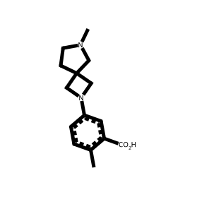 Cc1ccc(N2CC3(CCN(C)C3)C2)cc1C(=O)O